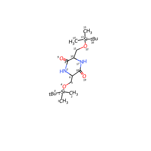 CC(C)(C)[Si](C)(C)OCC1NC(=O)C(CO[Si](C)(C)C(C)(C)C)NC1=O